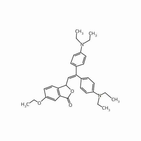 CCOc1ccc2c(c1)C(=O)OC2C=C(c1ccc(N(CC)CC)cc1)c1ccc(N(CC)CC)cc1